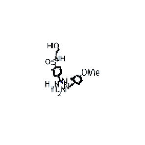 COc1ccc(CN(N)/N=C(\N)c2ccc([S+]([O-])NCCO)cc2)cc1